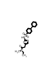 CCN(C)C(=O)Cc1cnc(NS(=O)(=O)c2ccc(-c3ccccc3)cc2)s1